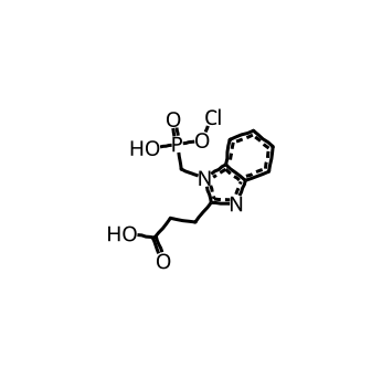 O=C(O)CCc1nc2ccccc2n1CP(=O)(O)OCl